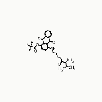 CC(C)[C@H](N)C(=O)OCCCNc1ccc(OC(=O)C(F)(F)F)c2c1C(=O)c1ccccc1C2=O